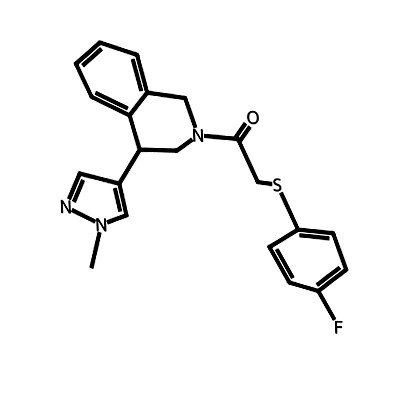 Cn1cc(C2CN(C(=O)CSc3ccc(F)cc3)Cc3ccccc32)cn1